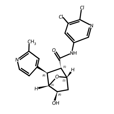 Cc1cc([C@@H]2[C@@H]3O[C@@H](C[C@H]3O)[C@H]2C(=O)Nc2cnc(Cl)c(Cl)c2)ccn1